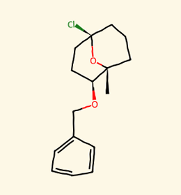 C[C@@]12CCC[C@@](Cl)(CC[C@@H]1OCc1ccccc1)O2